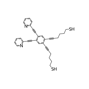 SCCCCC#Cc1cc(C#Cc2ccccn2)c(C#Cc2ccccn2)cc1C#CCCCCS